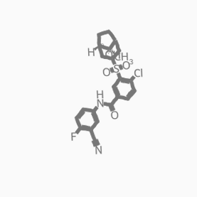 C[C@@]1(O)C2CC[C@H]1CC(S(=O)(=O)c1cc(C(=O)Nc3ccc(F)c(C#N)c3)ccc1Cl)C2